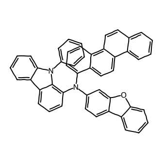 c1ccc(-n2c3ccccc3c3cccc(N(c4ccc5c(c4)oc4ccccc45)c4cccc5c4ccc4c6ccccc6ccc54)c32)cc1